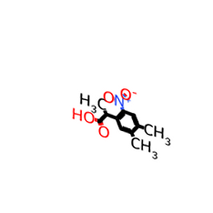 Cc1cc(C(C)C(=O)O)c([N+](=O)[O-])cc1C